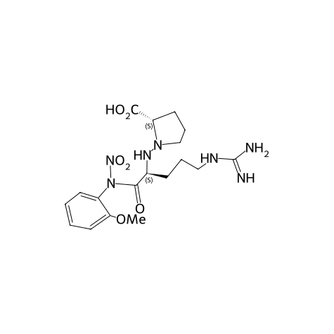 COc1ccccc1N(C(=O)[C@H](CCCNC(=N)N)NN1CCC[C@H]1C(=O)O)[N+](=O)[O-]